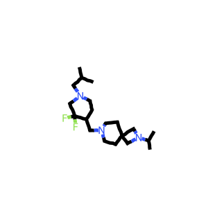 CC(C)CN1CCC(CN2CCC3(CC2)CN(C(C)C)C3)C(F)(F)C1